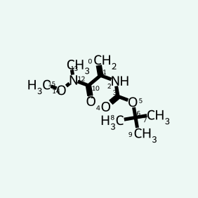 C=C(NC(=O)OC(C)(C)C)C(=O)N(C)OC